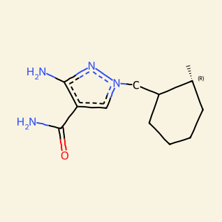 C[C@@H]1CCCCC1Cn1cc(C(N)=O)c(N)n1